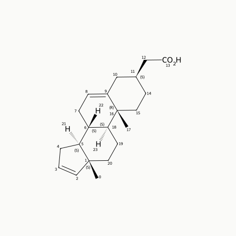 C[C@@]12C=CC[C@H]1[C@@H]1CC=C3C[C@@H](CC(=O)O)CC[C@]3(C)[C@H]1CC2